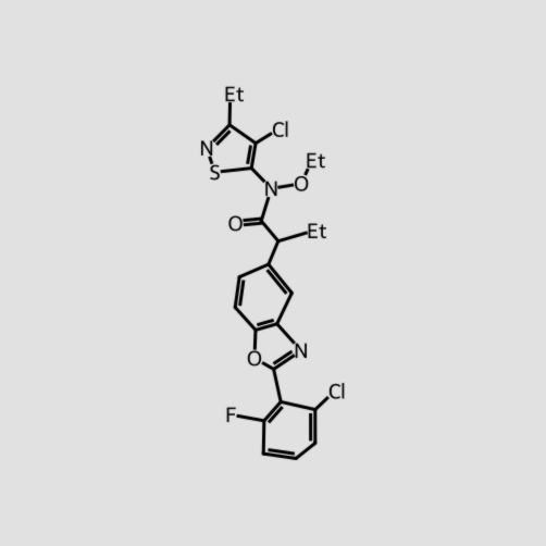 CCON(C(=O)C(CC)c1ccc2oc(-c3c(F)cccc3Cl)nc2c1)c1snc(CC)c1Cl